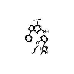 C/C=C/COc1cc(Nc2nc(NC)c3c(n2)C(c2ccccc2)CC3)ccc1-n1cnc(C)n1